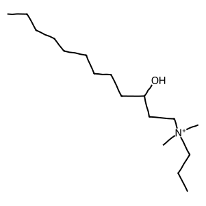 CCCCCCCCCC(O)CC[N+](C)(C)CCC